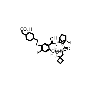 COc1cc(F)c(OCC2CCC(CC(=O)O)CC2)cc1C(=O)N[C@@H]1[C@H]2CC[C@H](C2)[C@@H]1C(=O)NCC1(C)CCC1